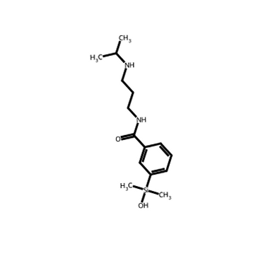 CC(C)NCCCNC(=O)c1cccc([Si](C)(C)O)c1